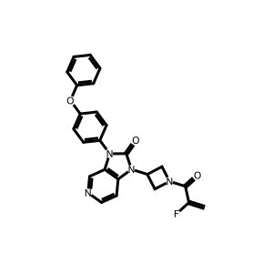 C=C(F)C(=O)N1CC(n2c(=O)n(-c3ccc(Oc4ccccc4)cc3)c3cnccc32)C1